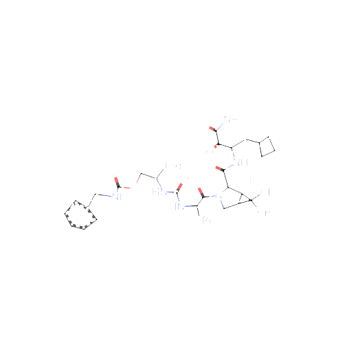 CC(C)(C)C(COC(=O)NCc1ccccc1)NC(=O)NC(C(=O)N1C[C@H]2[C@@H](C1C(=O)NC(CC1CCC1)C(=O)C(N)=O)C2(C)C)C(C)(C)C